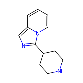 c1ccn2c(C3CCNCC3)ncc2c1